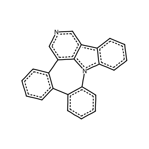 c1ccc2c(c1)-c1ccccc1-n1c3ccccc3c3cncc-2c31